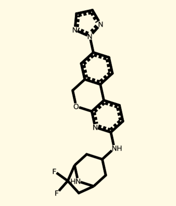 FC1(F)CC2CC(Nc3ccc4c(n3)OCc3cc(-n5nccn5)ccc3-4)CC1N2